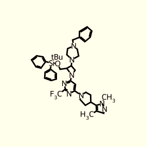 Cc1cnn(C)c1C1CCN(c2cc(N3CC(N4CCN(Cc5ccccc5)CC4)C3CO[Si](c3ccccc3)(c3ccccc3)C(C)(C)C)nc(C(F)(F)F)n2)CC1